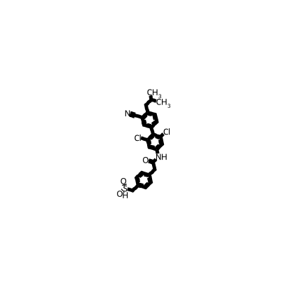 CC(C)Cc1ccc(-c2c(Cl)cc(NC(=O)Cc3ccc(C[SH](=O)=O)cc3)cc2Cl)cc1C#N